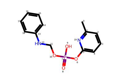 Cc1cccc(OP(=O)(O)OCNc2ccccc2)n1